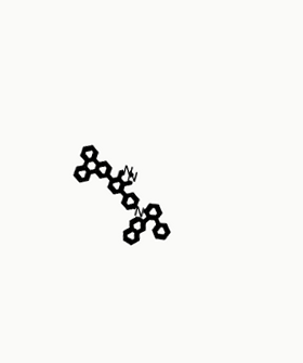 c1ccc(-c2cccc3c2c2cc4ccccc4cc2n3-c2ccc(-c3ccc(-c4ccc5c6ccccc6c6ccccc6c5c4)c4cnncc34)cc2)cc1